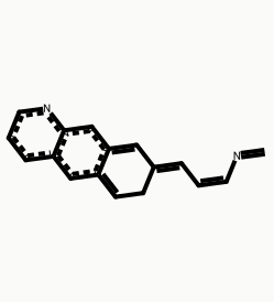 C=N/C=C\C=C1\C=c2cc3ncccc3cc2=CC1